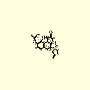 C=CC[N+]1(CC)CO[C@@]23CCC(=O)[C@@H]4Oc5c(OC(C)=O)ccc(c5C42)C[C@H]31